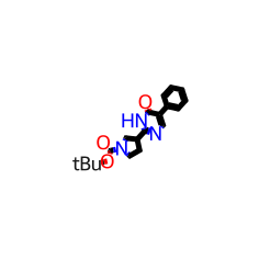 CC(C)(C)OC(=O)N1CCC(c2ncc(-c3ccccc3)c(=O)[nH]2)C1